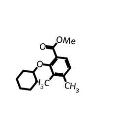 COC(=O)c1ccc(C)c(C)c1OC1CCCCC1